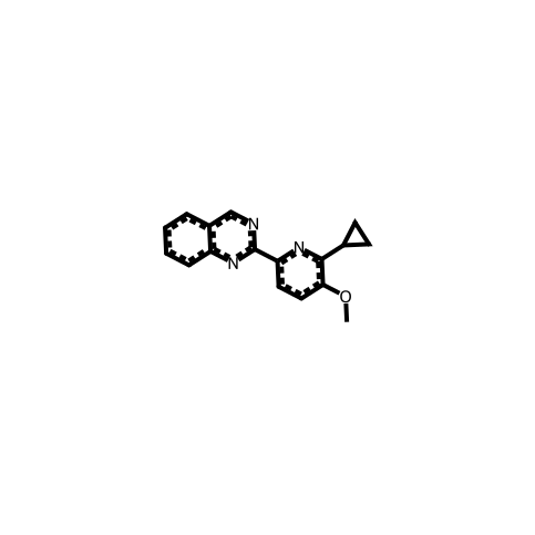 COc1ccc(-c2ncc3ccccc3n2)nc1C1CC1